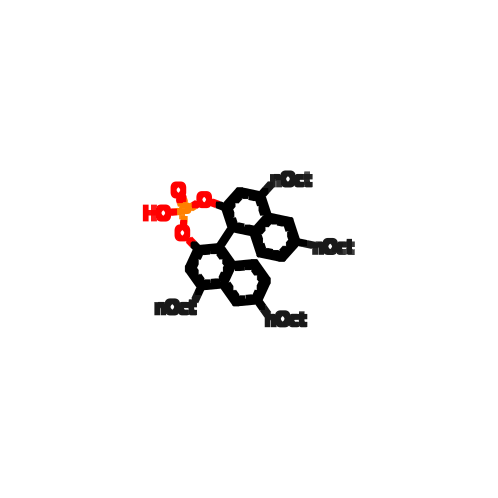 CCCCCCCCc1ccc2c3c(cc(CCCCCCCC)c2c1)OP(=O)(O)Oc1cc(CCCCCCCC)c2cc(CCCCCCCC)ccc2c1-3